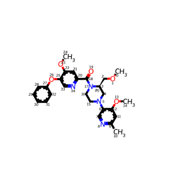 COC[C@H]1CN(c2cnc(C)cc2OC)CCN1C(=O)c1cc(OC)c(Oc2ccccc2)cn1